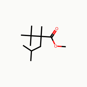 COC(=O)C(C)(CC(C)C)C(C)(C)C